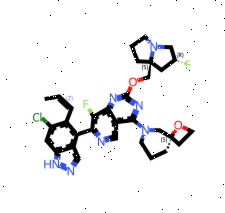 C/C=C\c1c(Cl)cc2[nH]ncc2c1-c1ncc2c(N3CCC[C@]4(CCO4)C3)nc(OC[C@@]34CCCN3C[C@H](F)C4)nc2c1F